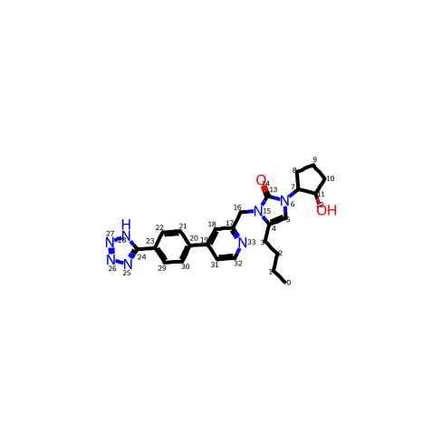 CCCCc1cn(C2CCCC2O)c(=O)n1Cc1cc(-c2ccc(-c3nnn[nH]3)cc2)ccn1